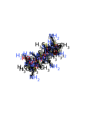 Cc1nc([C@H](CCCCN)NC(=O)c2sc(CC(C)C)nc2[C@H](C)NC(=O)c2sc(CCCCN)nc2[C@H](CC(C)C)NC(=O)c2sc(C)nc2[C@H](CCCCN)NC(=O)c2sc(CC(C)C)nc2[C@H](C)NC(=O)c2sc(CCCCN)nc2[C@H](CC(C)C)NC(=O)c2sc(C)nc2[C@H](CCCCN)NC(C)O)c(C(=O)N[C@@H](CC(C)C)c2nc(CCCCN)sc2C(=O)N[C@@H](C)c2nc(CC(C)C)sc2C(N)=O)s1